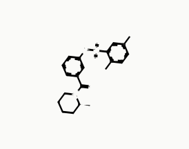 Cc1ccc(C)c(S(=O)(=O)Nc2cccc(C(=O)N3CCCC[C@@H]3C)c2)c1